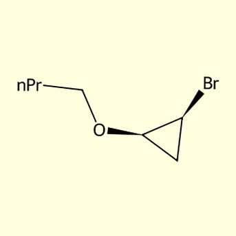 CCCCO[C@@H]1C[C@@H]1Br